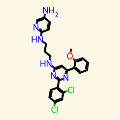 COc1ccccc1-c1cc(NCCCNc2ccc(N)cn2)nc(-c2ccc(Cl)cc2Cl)n1